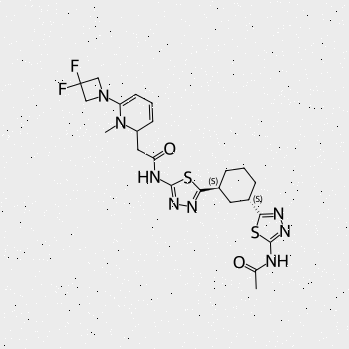 CC(=O)Nc1nnc([C@H]2CCC[C@H](c3nnc(NC(=O)CC4C=CC=C(N5CC(F)(F)C5)N4C)s3)C2)s1